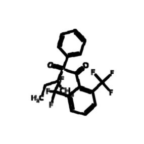 CCC(C)P(=O)(C(=O)c1c(C(F)(F)F)cccc1C(F)(F)F)c1ccccc1